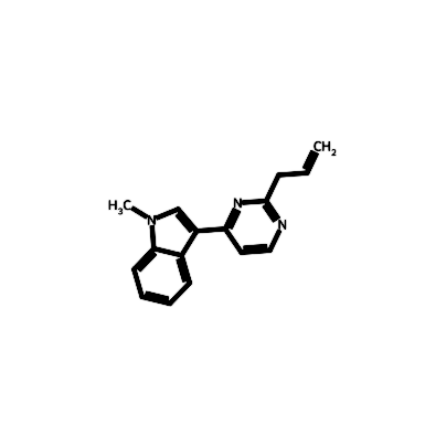 C=CCc1nccc(-c2cn(C)c3ccccc23)n1